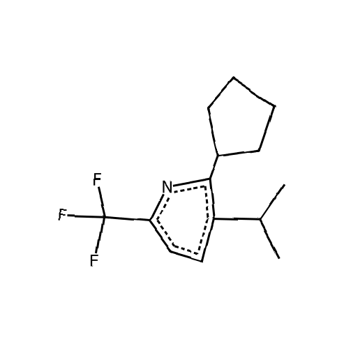 CC(C)c1ccc(C(F)(F)F)nc1C1CCCC1